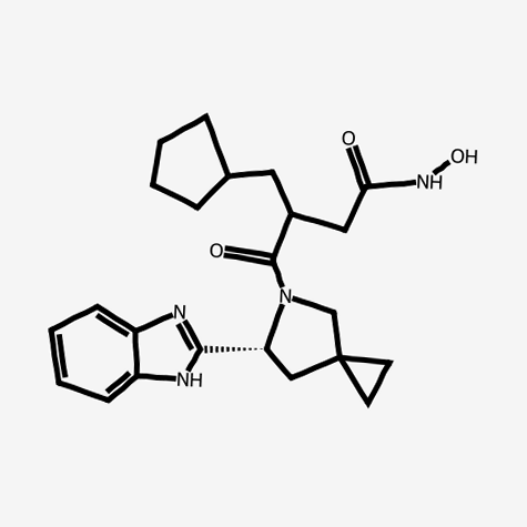 O=C(CC(CC1CCCC1)C(=O)N1CC2(CC2)C[C@@H]1c1nc2ccccc2[nH]1)NO